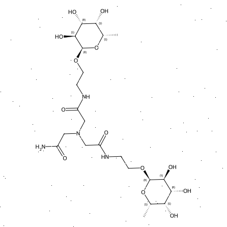 C[C@@H]1O[C@@H](OCCNC(=O)CN(CC(N)=O)CC(=O)NCCO[C@@H]2O[C@@H](C)[C@@H](O)[C@@H](O)[C@@H]2O)[C@@H](O)[C@H](O)[C@@H]1O